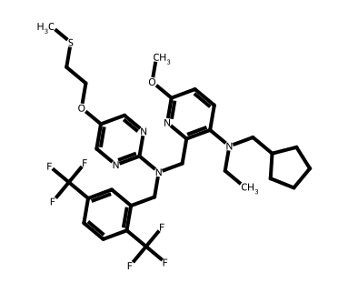 CCN(CC1CCCC1)c1ccc(OC)nc1CN(Cc1cc(C(F)(F)F)ccc1C(F)(F)F)c1ncc(OCCSC)cn1